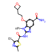 CCCn1c(NC(=O)c2sc(C)nc2CC)nc2cc(C(N)=O)cc(OCCC3COC3)c21